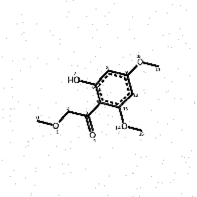 COCC(=O)c1c(O)cc(OC)cc1OC